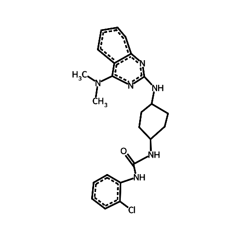 CN(C)c1nc(NC2CCC(NC(=O)Nc3ccccc3Cl)CC2)nc2ccccc12